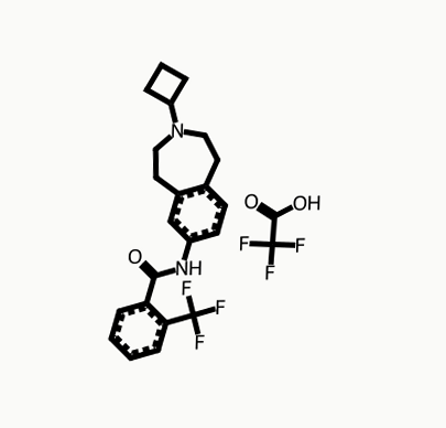 O=C(Nc1ccc2c(c1)CCN(C1CCC1)CC2)c1ccccc1C(F)(F)F.O=C(O)C(F)(F)F